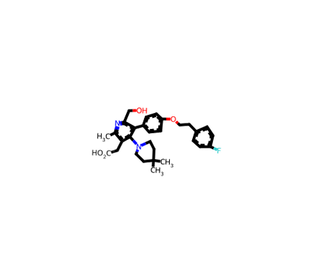 Cc1nc(CO)c(-c2ccc(OCCc3ccc(F)cc3)cc2)c(N2CCC(C)(C)CC2)c1CC(=O)O